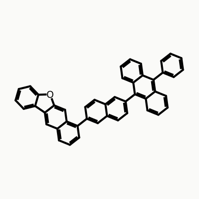 c1ccc(-c2c3ccccc3c(-c3ccc4cc(-c5cccc6cc7c(cc56)oc5ccccc57)ccc4c3)c3ccccc23)cc1